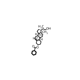 C[C@H](CO)[C@@H]1CC[C@H]2[C@@H]3CC=C4C[C@@H](OC(=O)c5ccccc5)CC[C@@]4(C)[C@H]3CC[C@@]21C